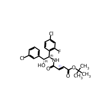 CC(C)(C)OC(=O)/C=C/C(=O)N[C@H](c1ccc(Cl)cc1F)[C@H](O)c1cccc(Cl)c1